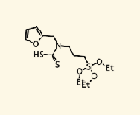 CCO[Si](CCCN(Cc1ccco1)C(=S)S)(OCC)OCC